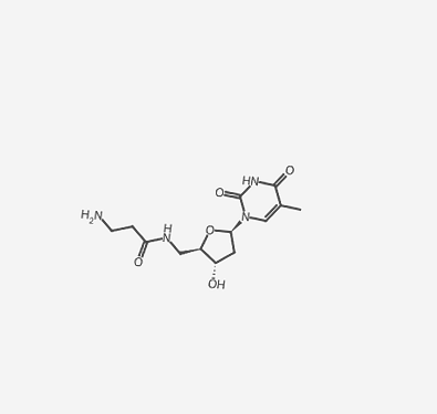 Cc1cn([C@H]2C[C@H](O)[C@@H](CNC(=O)CCN)O2)c(=O)[nH]c1=O